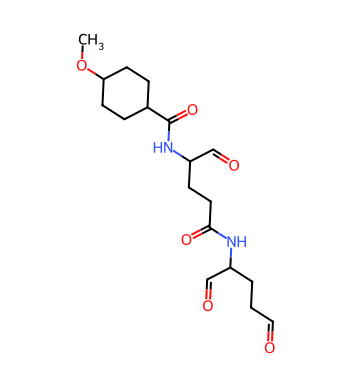 COC1CCC(C(=O)NC(C=O)CCC(=O)NC(C=O)CCC=O)CC1